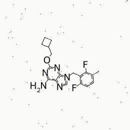 Cc1ccc(F)c(Cn2cnc3c(N)nc(OCC4CCC4)nc32)c1F